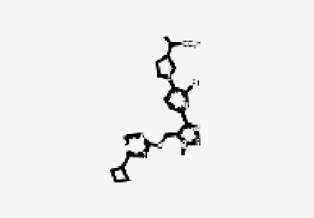 CCc1nc(-c2nnn(C)c2COc2nccc(C3CCC3)n2)ccc1N1CCC(C(C)C(=O)O)C1